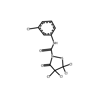 O=C(Nc1cccc(Cl)c1)N1SC(Cl)(Cl)C(Cl)(Cl)C1=O